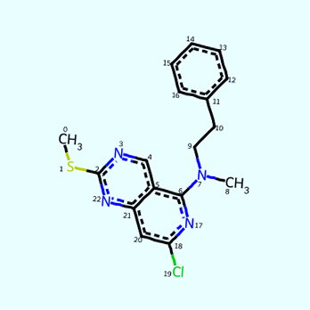 CSc1ncc2c(N(C)CCc3ccccc3)nc(Cl)cc2n1